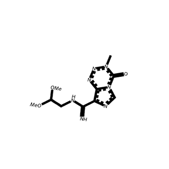 COC(CNC(=N)c1ncn2c(=O)n(C)nnc12)OC